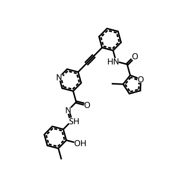 Cc1ccoc1C(=O)Nc1ccccc1C#Cc1cncc(C(=O)N=[SH]c2cccc(C)c2O)c1